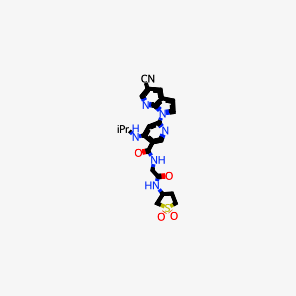 CC(C)Nc1cc(-n2ccc3cc(C#N)cnc32)ncc1C(=O)NCC(=O)NC1CCS(=O)(=O)C1